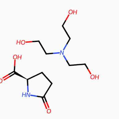 O=C1CC[C@H](C(=O)O)N1.OCCN(CCO)CCO